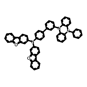 c1ccc(N2c3ccccc3N(c3cccc(-c4ccc(N(c5ccc6c(c5)oc5ccccc56)c5ccc6c(c5)oc5ccccc56)cc4)c3)c3ccccc32)cc1